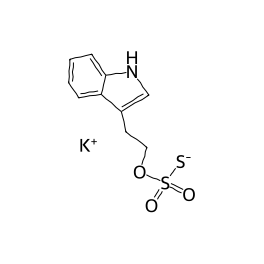 O=S(=O)([S-])OCCc1c[nH]c2ccccc12.[K+]